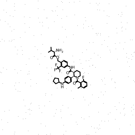 Cc1cccc(F)c1C(=O)N1CCC[C@H](C(=O)Nc2ccc(COC(=O)[C@@H](N)C(C)C)c(C(F)(F)F)c2)[C@@H]1c1ccc(NC2CCCC2)cc1